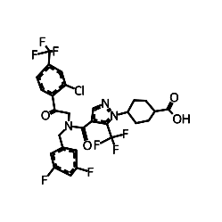 O=C(CN(Cc1cc(F)cc(F)c1)C(=O)c1cnn(C2CCC(C(=O)O)CC2)c1C(F)(F)F)c1ccc(C(F)(F)F)cc1Cl